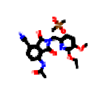 CCOc1nc([C@@H](CS(C)(=O)=O)N2C(=O)c3c(C#N)ccc(NC(C)=O)c3C2=O)ccc1OC